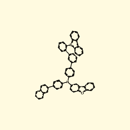 c1cc(-c2ccc(N(c3ccc(-c4ccc5ccccc5c4)cc3)c3ccc4oc5ccccc5c4c3)cc2)cc(-c2ccccc2-n2c3ccccc3c3ccccc32)c1